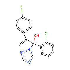 C=C(c1ccc(F)cc1)C(O)(c1ccccc1Cl)n1cncn1